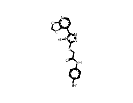 CCn1c(SCC(=O)Nc2ccc(C(C)C)cc2)nnc1-c1ccnc2c1OCO2